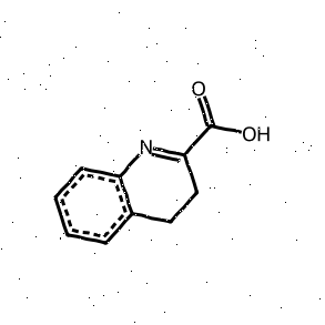 O=C(O)C1=Nc2ccccc2CC1